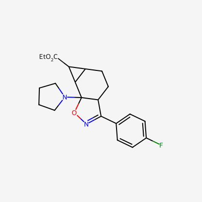 CCOC(=O)C1C2CCC3C(c4ccc(F)cc4)=NOC3(N3CCCC3)C21